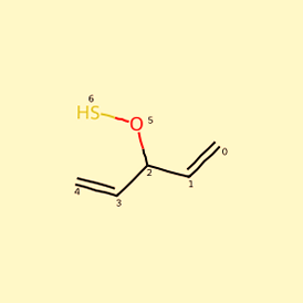 C=CC(C=C)OS